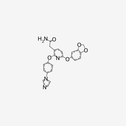 NC(=O)Cc1ccc(Oc2ccc3c(c2)OCO3)nc1Oc1ccc(-n2ccnc2)cc1